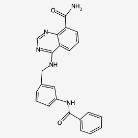 NC(=O)c1cccc2c(NCc3cccc(NC(=O)c4ccccc4)c3)ncnc12